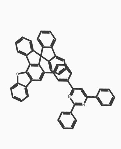 c1ccc(-c2cc(-c3cccc(-c4cc5c(oc6ccccc65)c5c4C4(c6ccccc6-c6ccccc64)c4ccccc4-5)c3)nc(-c3ccccc3)n2)cc1